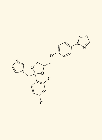 Clc1ccc(C2(Cn3ccnc3)OCC(COc3ccc(-n4cccn4)cc3)O2)c(Cl)c1